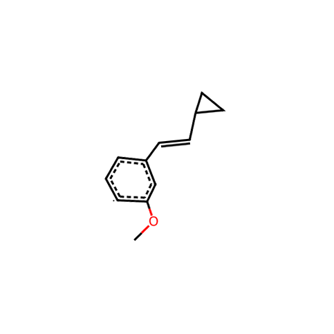 COc1[c]ccc(/C=C/C2CC2)c1